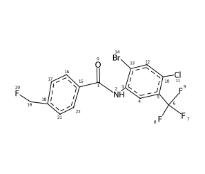 O=C(Nc1cc(C(F)(F)F)c(Cl)cc1Br)c1ccc(CF)cc1